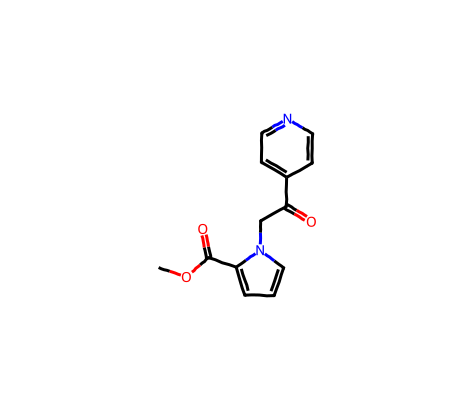 COC(=O)c1cccn1CC(=O)c1ccncc1